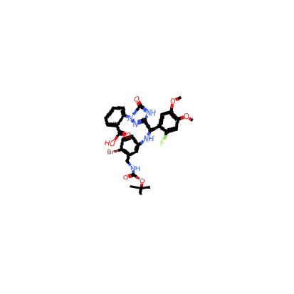 COc1cc(F)c(C(Nc2ccc(Br)c(CNC(=O)OC(C)(C)C)c2)c2nn(-c3ccccc3C(=O)O)c(=O)[nH]2)cc1OC